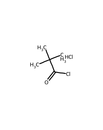 CC(C)(C)C(=O)Cl.Cl